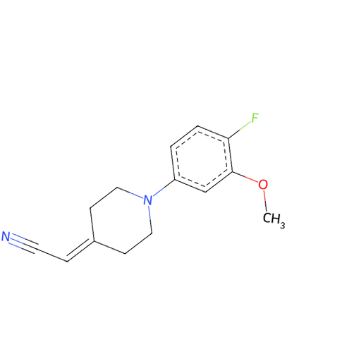 COc1cc(N2CCC(=CC#N)CC2)ccc1F